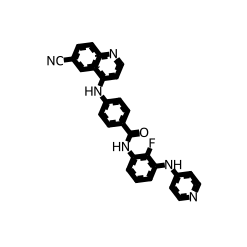 N#Cc1ccc2nccc(Nc3ccc(C(=O)Nc4cccc(Nc5ccncc5)c4F)cc3)c2c1